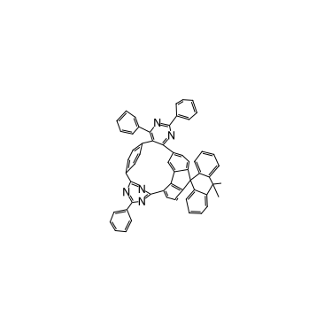 CC1(C)c2ccccc2C2(c3ccccc31)c1ccc3cc1c1c2cccc1c1nc(-c2ccccc2)nc(n1)c1ccc(cc1)c1c(-c2ccccc2)nc(-c2ccccc2)nc31